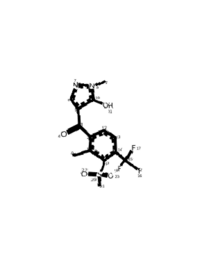 Cc1c(C(=O)c2cnn(C)c2O)ccc(C(F)(F)F)c1S(C)(=O)=O